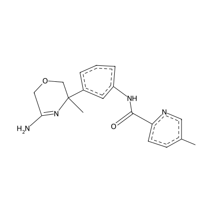 Cc1ccc(C(=O)Nc2cccc(C3(C)COCC(N)=N3)c2)nc1